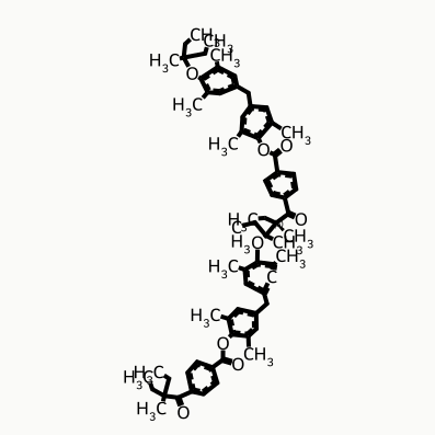 CCC(C)(CC)Oc1c(C)cc(Cc2cc(C)c(OC(=O)c3ccc(C(=O)[C@@](C)(CC)C(C)(CC)Oc4c(C)cc(Cc5cc(C)c(OC(=O)c6ccc(C(=O)C(C)(CC)CC)cc6)c(C)c5)cc4C)cc3)c(C)c2)cc1C